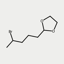 CC(Br)CCCC1OCCO1